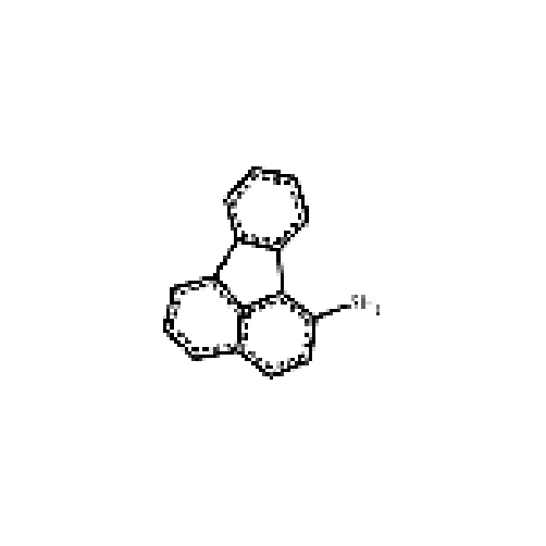 [SiH3]c1ccc2cccc3c2c1-c1ccccc1-3